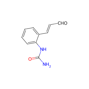 NC(=O)Nc1ccccc1C=CC=O